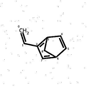 C=CC1=C2C=CC(=C1)C2